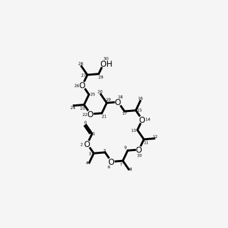 C=COC(C)COC(C)COC(C)COC(C)COC(C)COC(C)COC(C)CO